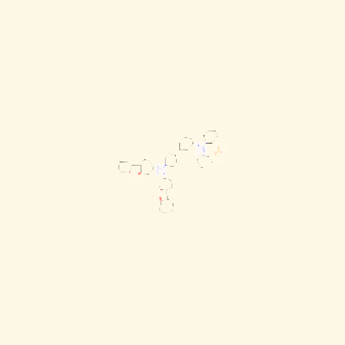 O=S1(=O)c2ccccc2N(c2cccc(-c3ccc(N(c4ccc5c(c4)oc4ccccc45)c4ccc5c(c4)oc4ccccc45)cc3)c2)c2ccccc21